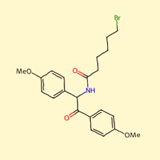 COc1ccc(C(=O)C(NC(=O)CCCCCBr)c2ccc(OC)cc2)cc1